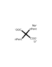 CCCCCC(CCCCC)(C(=O)[O-])C(=O)[O-].[Li+].[Na+]